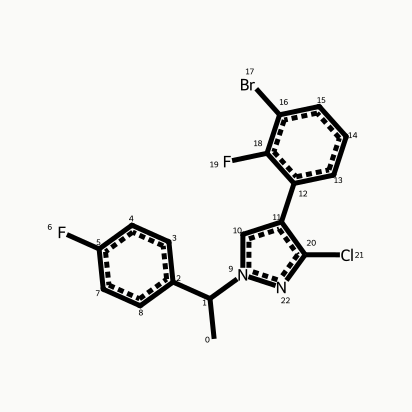 CC(c1ccc(F)cc1)n1cc(-c2cccc(Br)c2F)c(Cl)n1